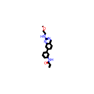 C=CC(=O)Nc1cccc(-c2ccc3cnc(NCCOC)nc3c2)c1